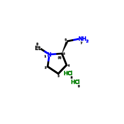 CCN1CCC[C@H]1CN.Cl.Cl